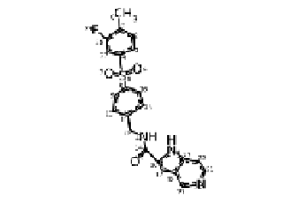 Cc1ccc(S(=O)(=O)c2ccc(CNC(=O)c3cc4cnccc4[nH]3)cc2)cc1F